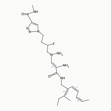 C\C=C/C=C\C(CNC(=O)/C(N)=C/N(N)CC(F)CCn1cc(C(=O)NC)nn1)=C(/C)CC